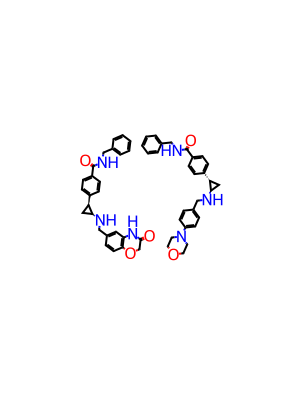 O=C(NCc1ccccc1)c1ccc([C@@H]2C[C@H]2NCc2ccc(N3CCOCC3)cc2)cc1.O=C1COc2ccc(CN[C@@H]3C[C@H]3c3ccc(C(=O)NCc4ccccc4)cc3)cc2N1